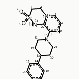 O=S1(=O)CC[n+]2ccnc(N3CCC(c4ccccc4)CC3)c2N1